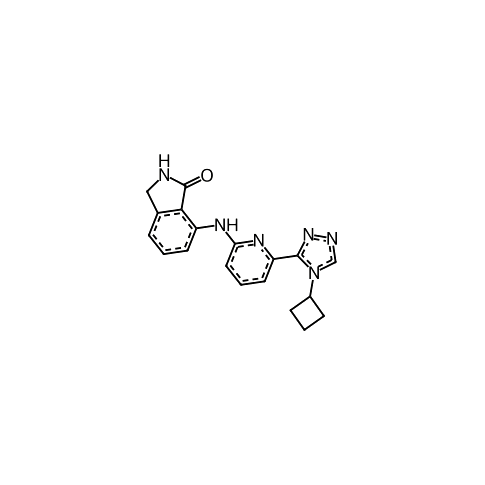 O=C1NCc2cccc(Nc3cccc(-c4nncn4C4CCC4)n3)c21